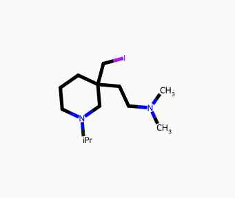 CC(C)N1CCCC(CI)(CCN(C)C)C1